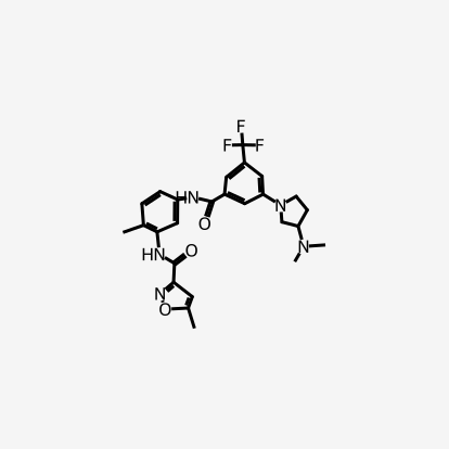 Cc1cc(C(=O)Nc2cc(NC(=O)c3cc(N4CCC(N(C)C)C4)cc(C(F)(F)F)c3)ccc2C)no1